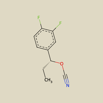 CC[C@@H](OC#N)c1ccc(F)c(F)c1